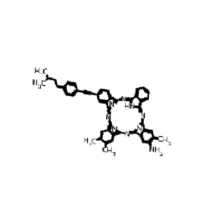 Cc1cc2c3nc4nc(nc5[nH]c(nc6nc(nc([nH]3)c2cc1C)-c1cc(N)c(C)cc1-6)c1ccccc51)-c1ccc(C#Cc2ccc(CCC(C)C)cc2)cc1-4